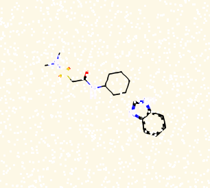 CN(C)S(=O)(=O)CC(=O)NC1CCC[C@H](c2nc3ccccc3[nH]2)C1